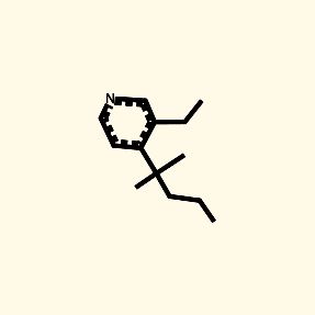 CCCC(C)(C)c1ccncc1CC